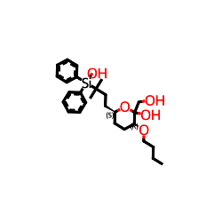 CCCCO[C@@H]1CC[C@@H](CCC(C)(C)[Si](O)(c2ccccc2)c2ccccc2)OC1(O)CO